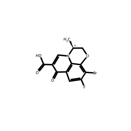 C[C@H]1COc2c(Br)c(F)cc3c(=O)c(C(=O)O)cn1c23